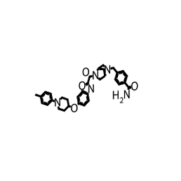 Cc1ccc(N2CCC(Oc3ccc4nc(C(=O)N5CC6CC5CN6Cc5ccc(C(N)=O)cc5)oc4c3)CC2)cc1